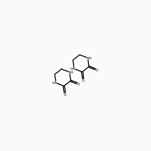 O=C1NCCNC1=O.O=C1NCCNC1=O